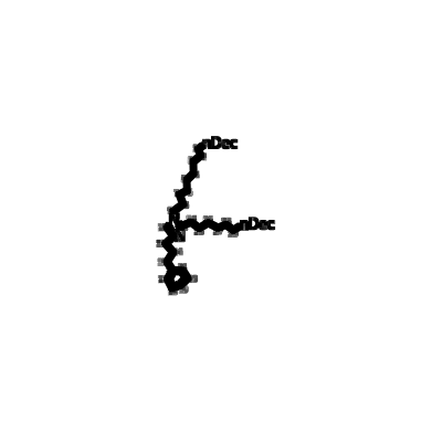 CCCCCCCCCCCCCCCCCCCn1cc(CCCc2ccccc2)nc1CCCCCCCCCCCCCCCC